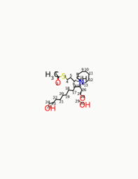 CC(=O)SCCC[SiH]1CCCCCCN1C(CCCCCCCCCO)CCOCO